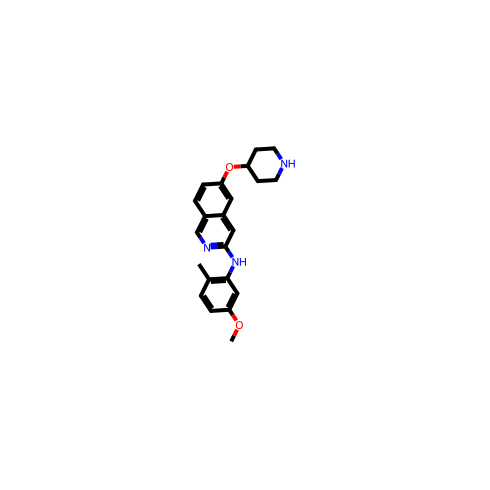 COc1ccc(C)c(Nc2cc3cc(OC4CCNCC4)ccc3cn2)c1